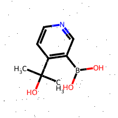 CC(C)(O)c1ccncc1B(O)O